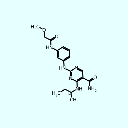 CC[C@H](C)Nc1nc(Nc2cccc(NC(=O)COC)c2)ncc1C(N)=O